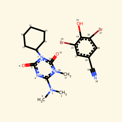 CN(C)c1nc(=O)n(C2CCCCC2)c(=O)n1C.N#Cc1cc(Br)c(O)c(Br)c1